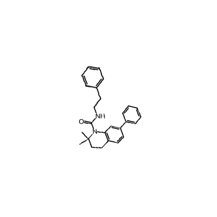 CC1(C)CCc2ccc(-c3ccccc3)cc2N1C(=O)NCCc1ccccc1